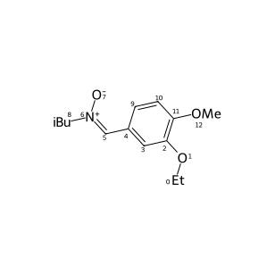 CCOc1cc(C=[N+]([O-])C(C)CC)ccc1OC